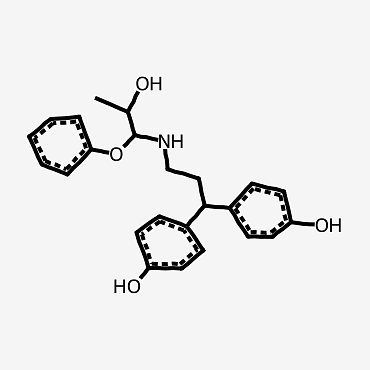 CC(O)C(NCCC(c1ccc(O)cc1)c1ccc(O)cc1)Oc1ccccc1